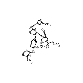 C=CC(=O)N1CC(=O)N(c2nc(Nc3cnn(C)c3)ncc2-c2ccc(Oc3nccc(C)n3)c(F)c2)C[C@H]1C